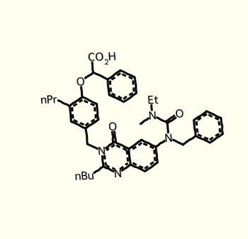 CCCCc1nc2ccc(N(Cc3ccccc3)C(=O)N(C)CC)cc2c(=O)n1Cc1ccc(OC(C(=O)O)c2ccccc2)c(CCC)c1